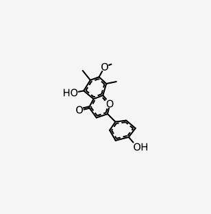 COc1c(C)c(O)c2c(=O)cc(-c3ccc(O)cc3)oc2c1C